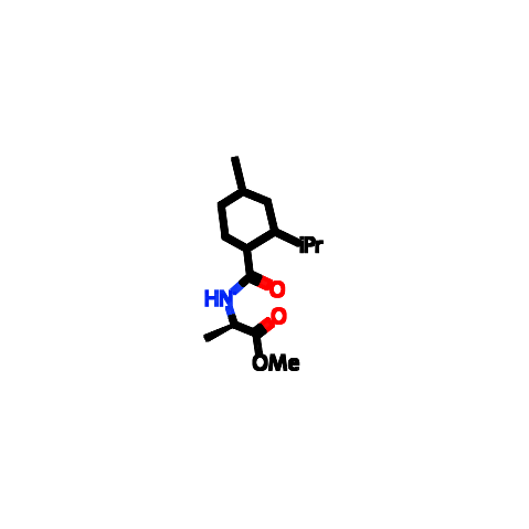 COC(=O)[C@@H](C)NC(=O)C1CCC(C)CC1C(C)C